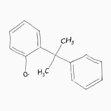 CC(C)(c1ccccc1)c1ccccc1[O]